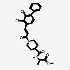 COC(=O)C(C)NC(=O)C1CCN(C(=O)/C=C/c2ccc(-c3ccccc3)c(Cl)c2Cl)CC1